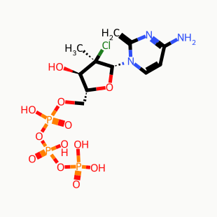 C=C1N=C(N)C=CN1[C@@H]1O[C@H](COP(=O)(O)OP(=O)(O)OP(=O)(O)O)[C@@H](O)[C@@]1(C)Cl